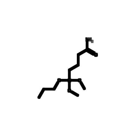 CCCO[Si](CCCC(N)=O)(OC)OC